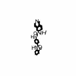 O=C(CNc1ccc(C(=O)Nc2ccccc2F)cc1)Nc1ccc2cnccc2c1